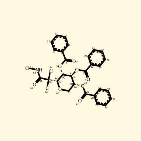 O=C(O[C@@H]1[C@@H](OC(=O)c2ccccc2)[C@@H](C(Cl)(Cl)C(=O)NCl)OC[C@H]1OC(=O)c1ccccc1)c1ccccc1